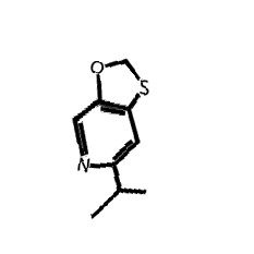 CC(C)c1cc2c(cn1)OCS2